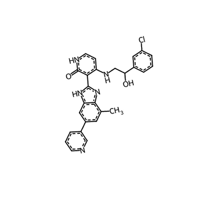 Cc1cc(-c2cccnc2)cc2[nH]c(-c3c(NCC(O)c4cccc(Cl)c4)cc[nH]c3=O)nc12